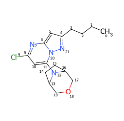 CCCCc1cc2nc(Cl)cc(N3C4CCC3COC4)n2n1